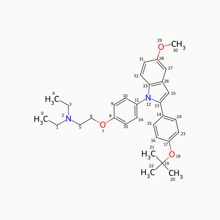 CCN(CC)CCOc1ccc(-n2c(-c3ccc(OC(C)(C)C)cc3)cc3cc(OC)ccc32)cc1